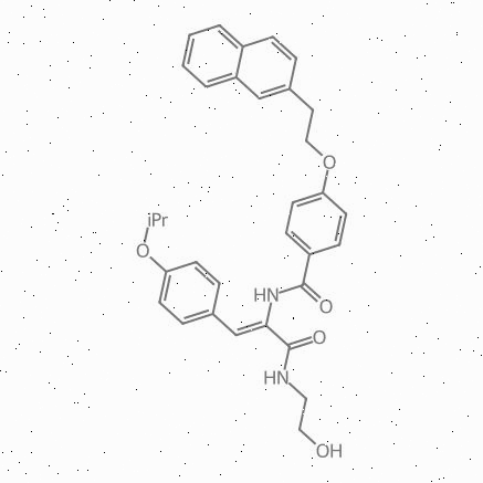 CC(C)Oc1ccc(/C=C(\NC(=O)c2ccc(OCCc3ccc4ccccc4c3)cc2)C(=O)NCCO)cc1